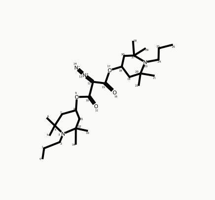 CCCN1C(C)(C)CC(OC(=O)C(=[N+]=[N-])C(=O)OC2CC(C)(C)N(CCC)C(C)(C)C2)CC1(C)C